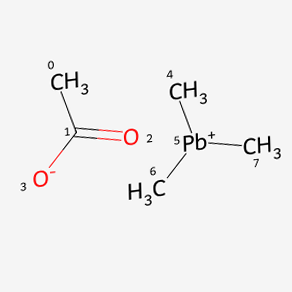 CC(=O)[O-].[CH3][Pb+]([CH3])[CH3]